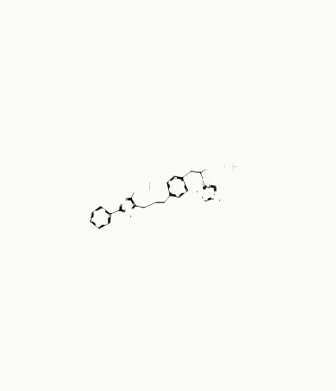 CCOC(=O)C(Cc1ccc(CCCc2nc(-c3ccccc3)oc2C)cc1)n1cncn1